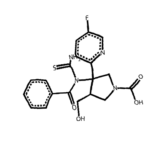 NC(=S)N(C(=O)c1ccccc1)C1(c2ccc(F)cn2)CN(C(=O)O)CC1CO